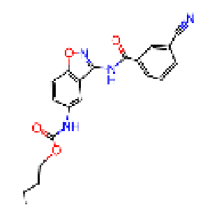 CCCCOC(=O)Nc1ccc2onc(NC(=O)c3cccc(C#N)c3)c2c1